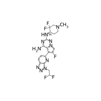 CN1CC[C@@H](Nc2nc(N)c3c(-c4ccc5nnn(CC(F)F)c5n4)c(F)cn3n2)C(F)(F)C1